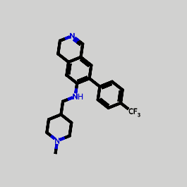 CN1CCC(CNc2cc3c(cc2-c2ccc(C(F)(F)F)cc2)C=NCC3)CC1